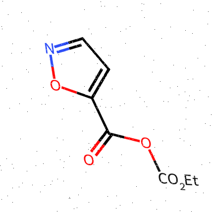 CCOC(=O)OC(=O)c1ccno1